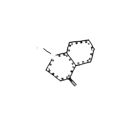 CC(C)n1ccc(=O)c2ccccc21